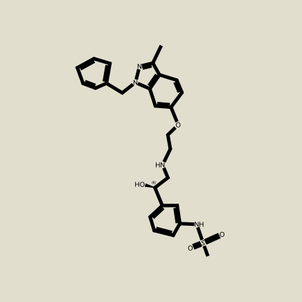 Cc1nn(Cc2ccccc2)c2cc(OCCNC[C@H](O)c3cccc(NS(C)(=O)=O)c3)ccc12